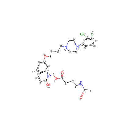 CC(=O)NCCCC(=O)OCN1c2cc(OCCCCN3CCN(c4cccc(Cl)c4Cl)CC3)ccc2C=CC1O